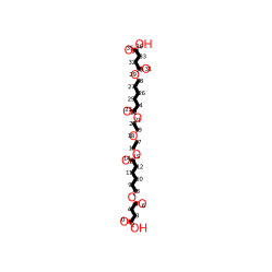 O=C(O)CCC(=O)OCCCCCC(=O)OCCOCCOC(=O)CCCCCOC(=O)CCC(=O)O